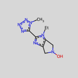 CCn1c(-c2nnnn2C)nc2c1CN(O)C2